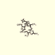 [3H]C(P)OP(=O)(OCC(C)OP(C)(=O)NC1CCC1)OC(C)COP(=O)(Cl)OC(C)COC